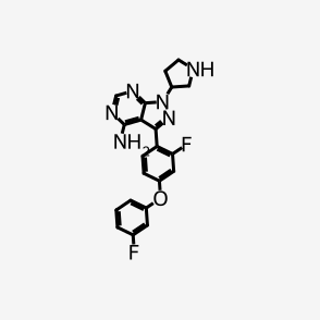 Nc1ncnc2c1c(-c1ccc(Oc3cccc(F)c3)cc1F)nn2C1CCNC1